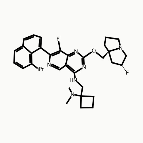 CC(C)c1cccc2cccc(-c3ncc4c(NCC5(N(C)C)CCC5)nc(OC[C@@]56CCCN5C[C@H](F)C6)nc4c3F)c12